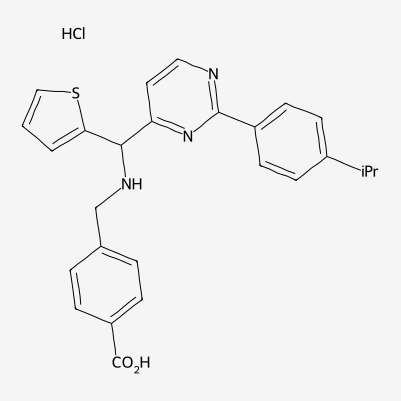 CC(C)c1ccc(-c2nccc(C(NCc3ccc(C(=O)O)cc3)c3cccs3)n2)cc1.Cl